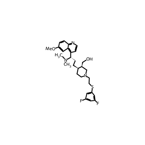 COc1ccc2nccc([C@H](CC[C@@H]3CCN(CCSc4cc(F)cc(F)c4)C[C@@H]3CO)N(C)C)c2c1